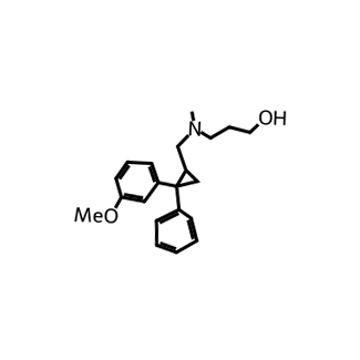 COc1cccc(C2(c3ccccc3)CC2CN(C)CCCO)c1